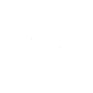 c1ccc2c(c1)oc1c3c(ccc12)-c1ccc2c(oc4ccccc42)c1-c1cc2c(cc1-c1cc4sc5ccccc5c4cc1-3)sc1ccccc12